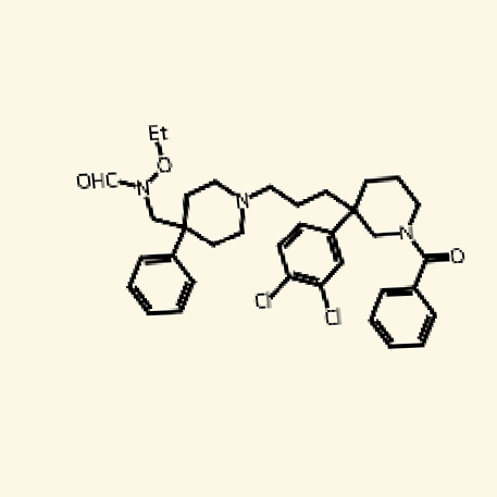 CCON(C=O)CC1(c2ccccc2)CCN(CCCC2(c3ccc(Cl)c(Cl)c3)CCCN(C(=O)c3ccccc3)C2)CC1